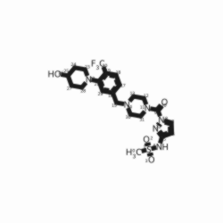 CS(=O)(=O)Nc1ccn(C(=O)N2CCN(Cc3ccc(C(F)(F)F)c(N4CCC(O)CC4)c3)CC2)n1